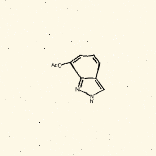 CC(=O)Oc1cccc2c[nH]nc12